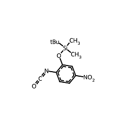 CC(C)(C)[Si](C)(C)Oc1cc([N+](=O)[O-])ccc1N=C=O